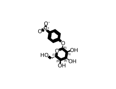 O=[N+]([O-])c1ccc(O[C@H]2O[C@@H](CO)[C@H](O)[C@@H](O)[C@@H]2O)cc1